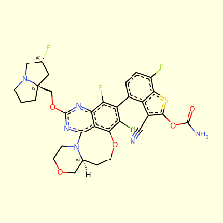 N#Cc1c(OC(N)=O)sc2c(F)ccc(-c3c(Cl)c4c5c(nc(OC[C@@]67CCCN6C[C@H](F)C7)nc5c3F)N3CCOC[C@@H]3CCO4)c12